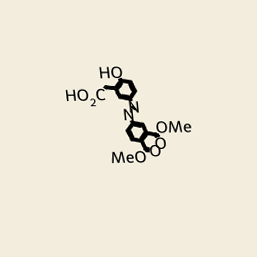 COC(=O)c1ccc(N=Nc2ccc(O)c(CC(=O)O)c2)cc1C(=O)OC